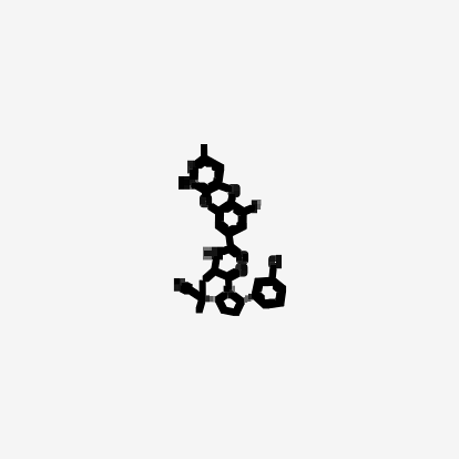 Cc1cc(Oc2c(C)cc(C(=O)NC(C)C(=O)N3[C@H](c4cccc(Cl)c4)CC[C@@H]3C(C)(C)C#N)cc2F)c(=O)[nH]n1